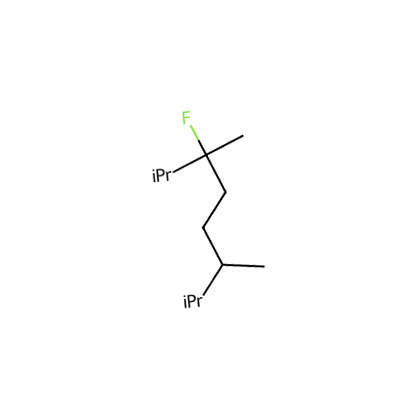 CC(C)C(C)CCC(C)(F)C(C)C